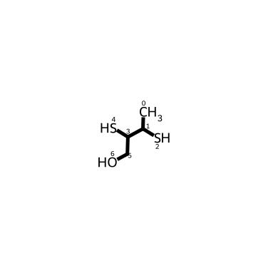 CC(S)C(S)CO